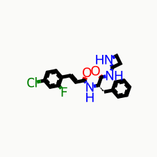 O=C(/C=C/c1ccc(Cl)cc1F)N[C@@H](Cc1ccccc1)C(=O)NC1CCN1